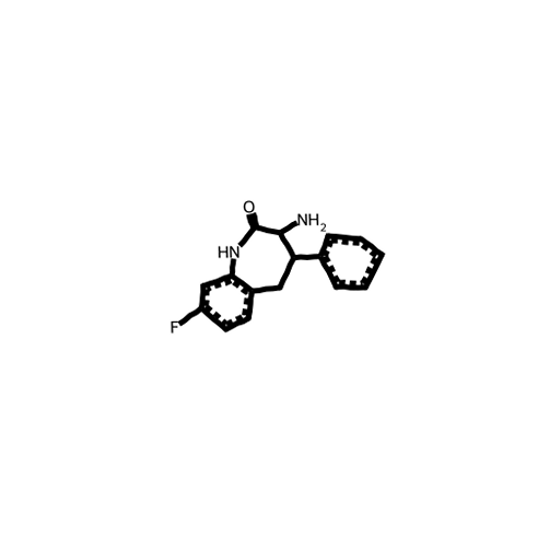 NC1C(=O)Nc2cc(F)ccc2CC1c1ccccc1